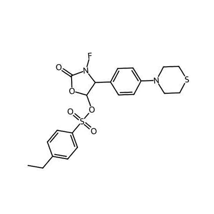 CCc1ccc(S(=O)(=O)OC2OC(=O)N(F)C2c2ccc(N3CCSCC3)cc2)cc1